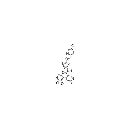 COc1c(-c2cc(C)ncc2C(=O)Nc2nnc(OCc3ccc(Cl)cn3)s2)ccnc1Cl